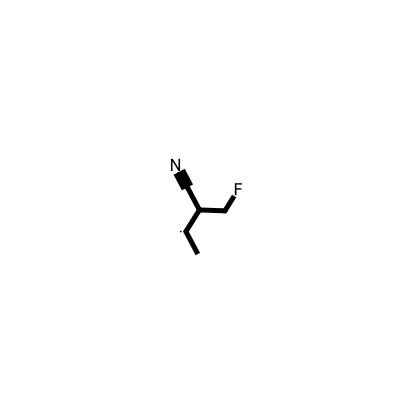 C[CH]C(C#N)CF